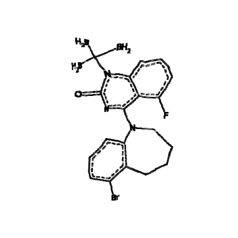 BC(B)(B)n1c(=O)nc(N2CCCCc3c(Br)cccc32)c2c(F)cccc21